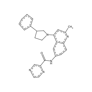 Cc1cc(N2CCC(c3ccccc3)C2)c2cc(NC(=O)c3cnccn3)ccc2n1